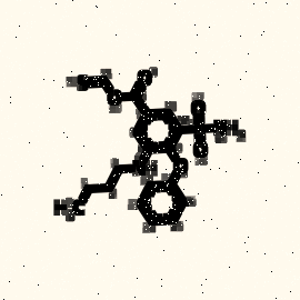 CCCCNc1cc(C(=O)OC=S)cc(S(N)(=O)=O)c1Oc1ccccc1